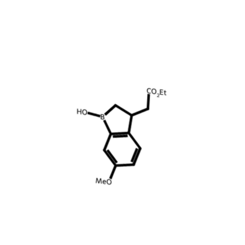 CCOC(=O)CC1CB(O)c2cc(OC)ccc21